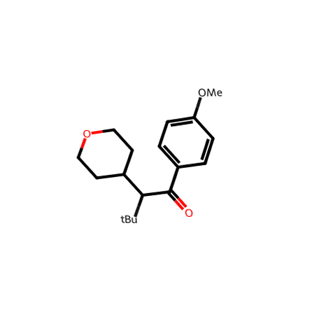 COc1ccc(C(=O)C(C2CCOCC2)C(C)(C)C)cc1